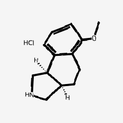 COc1cccc2c1CC[C@H]1CNC[C@@H]21.Cl